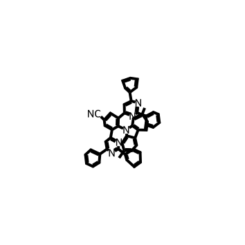 Cc1ccc2c3ccc(C)cc3n(-c3c(-c4cc(-c5ccccc5)nc(-c5ccccc5)n4)cc(C#N)cc3-c3cc(-c4ccccc4)nc(-c4ccccc4)n3)c2c1